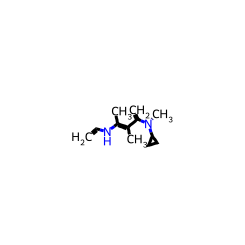 C=CN/C(C)=C(\C)C(=C)N(C)C1CC1